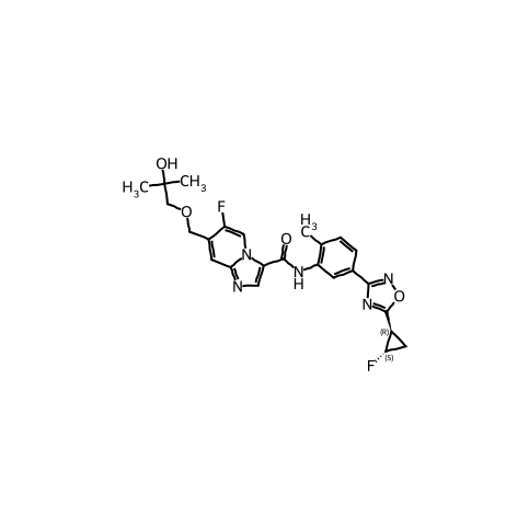 Cc1ccc(-c2noc([C@H]3C[C@@H]3F)n2)cc1NC(=O)c1cnc2cc(COCC(C)(C)O)c(F)cn12